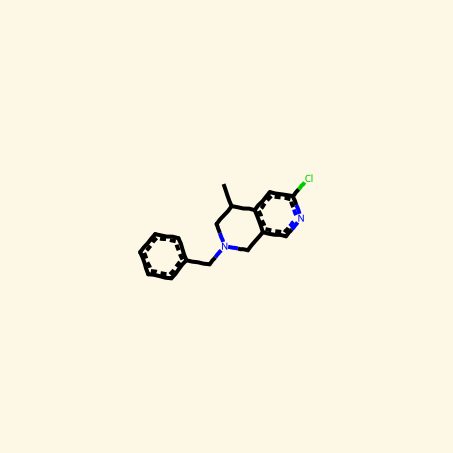 CC1CN(Cc2ccccc2)Cc2cnc(Cl)cc21